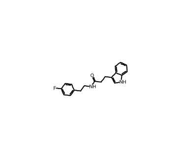 O=C(CCc1c[nH]c2ccccc12)NCCc1ccc(F)cc1